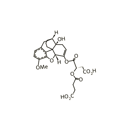 COc1ccc2c3c1O[C@H]1C(OC(=O)[C@H](CC(=O)O)OC(=O)CCC(=O)O)=CC[C@@]4(O)[C@H](CCCC314)C2